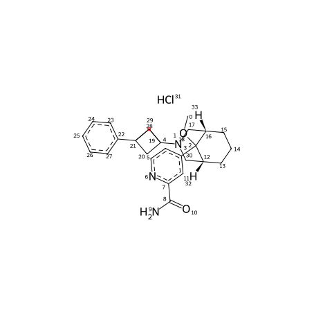 COC1(c2ccnc(C(N)=O)c2)[C@@H]2CCC[C@H]1CN(C13CC(c4ccccc4)(C1)C3)C2.Cl